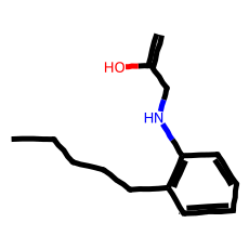 C=C(O)CNc1ccc[c]c1CCCCC